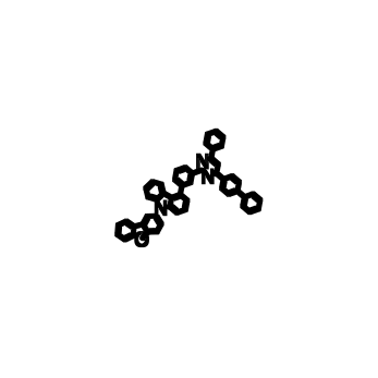 c1ccc(-c2ccc(-c3cc(-c4ccccc4)nc(-c4cccc(-c5cccc6c5c5ccccc5n6-c5ccc6oc7ccccc7c6c5)c4)n3)cc2)cc1